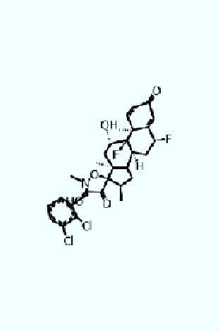 C[C@@H]1CC2[C@@H]3C[C@H](F)C4=CC(=O)C=C[C@]4(C)[C@@]3(F)[C@@H](O)C[C@]2(C)[C@@]1(ON(C)Cc1cccc(Cl)c1Cl)C(=O)CO